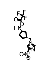 O=C(ON[C@H]1CC[C@H](Cn2cnc([N+](=O)[O-])c2)C1)C(F)(F)F